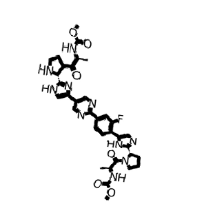 COC(=O)N[C@@H](C)C(=O)C1CCN[C@H]1c1nc(-c2cnc(-c3ccc(-c4cnc([C@@H]5CCCN5C(=O)[C@H](C)NC(=O)OC)[nH]4)c(F)c3)nc2)c[nH]1